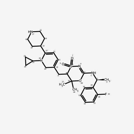 C[C@H](NC1=NS(=O)(=O)C(CC2=CC=C(C3CCNCC3)N(C3CC3)C2)C(C)(C)O1)c1ccccc1F